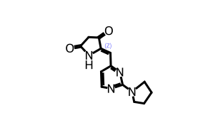 O=C1CC(=O)/C(=C/c2ccnc(N3CCCC3)n2)N1